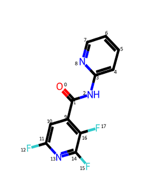 O=C(Nc1ccccn1)c1cc(F)nc(F)c1F